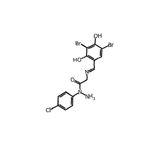 NN(C(=O)CN=Cc1cc(Br)c(O)c(Br)c1O)c1ccc(Cl)cc1